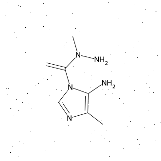 C=C(N(C)N)n1cnc(C)c1N